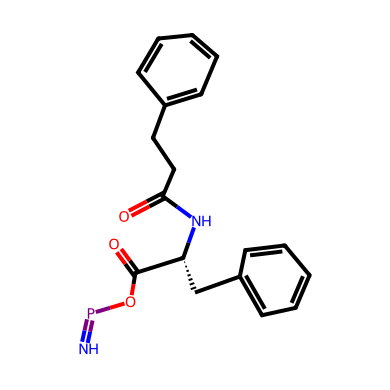 N=POC(=O)[C@@H](Cc1ccccc1)NC(=O)CCc1ccccc1